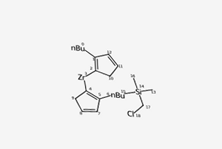 CCCCC1=[C]([Zr][C]2=C(CCCC)C=CC2)CC=C1.C[Si](C)(C)CCl